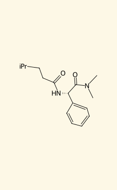 CC(C)CCC(=O)N[C@H](C(=O)N(C)C)c1ccccc1